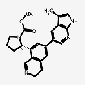 Cc1c[nH]c2ncc(-c3cc4c(c([C@@H]5CCCN5C(=O)OC(C)(C)C)c3)C=NCC4)cc12